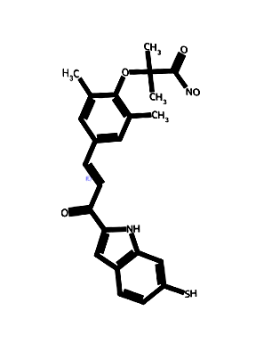 Cc1cc(/C=C/C(=O)c2cc3ccc(S)cc3[nH]2)cc(C)c1OC(C)(C)C(=O)N=O